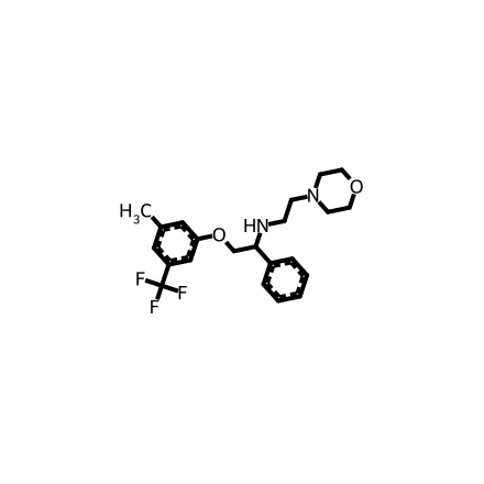 Cc1cc(OCC(NCCN2CCOCC2)c2ccccc2)cc(C(F)(F)F)c1